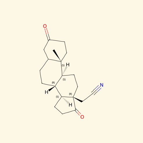 C[C@]12CCC(=O)CC1CC[C@H]1[C@@H]3CCC(=O)[C@@]3(CC#N)CC[C@@H]12